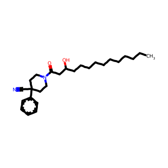 CCCCCCCCCCCC(O)CC(=O)N1CCC(C#N)(c2ccccc2)CC1